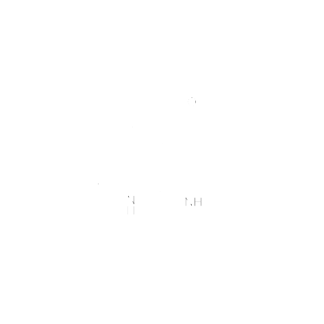 CN[C]1NC=CC=C1COC